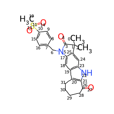 CC1(C)C(=O)N(Cc2ccc(S(C)(=O)=O)cc2)c2cc3c4c([nH]c3cc21)C(=O)CCCC4